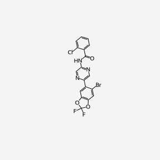 O=C(Nc1cnc(-c2cc3c(cc2Br)OC(F)(F)O3)cn1)c1ccccc1Cl